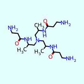 CC(CN(CC(C)NC(=O)CCN)CC(C)NC(=O)CCN)NC(=O)CCN